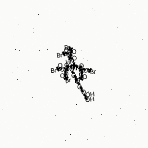 CC(C)(Br)COCC(C)(COC(=O)C(C)(C)Br)C(=O)NCC(CNC(=O)C(C)(COC(=O)C(C)(C)Br)COC(=O)C(C)(C)Br)(CNC(=O)C(C)(COC(=O)C(C)(C)Br)COC(=O)C(C)(C)Br)COCCOCCOCCOCCOCC(O)CO